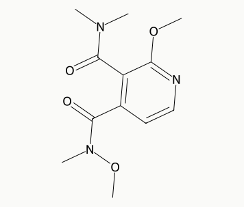 COc1nccc(C(=O)N(C)OC)c1C(=O)N(C)C